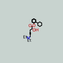 CCN(CC)CC#CC[C@H](O)C(=O)Oc1ccccc1C1CCCCC1